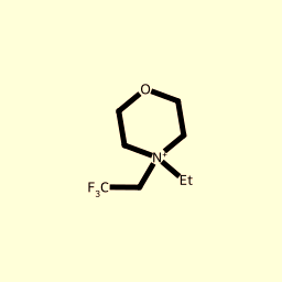 CC[N+]1(CC(F)(F)F)CCOCC1